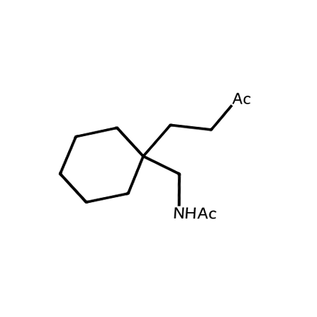 CC(=O)CCC1(CNC(C)=O)CCCCC1